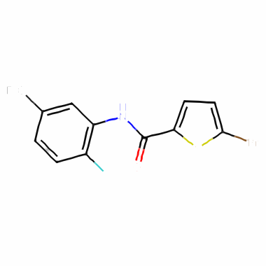 O=C(Nc1cc(C(F)(F)F)ccc1F)c1ccc(Br)s1